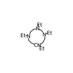 CCN1CCCN(CC)CCN(CC)CN(CC)CC1